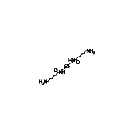 NCCCCCC(=O)NCCSSCCNC(=O)CCCCCN